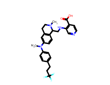 CN(c1ccc(CCC(F)(F)F)cc1)c1ccc2c(c1)CCN(C)C2CNc1cnccc1C(=O)O